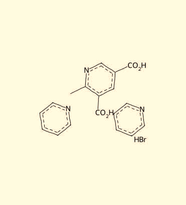 Br.Cc1ncc(C(=O)O)cc1C(=O)O.c1ccncc1.c1ccncc1